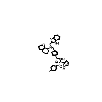 Cc1ccc(S(=O)(=O)C(NCc2ccc(CN(Cc3nc4ccccc4[nH]3)C3CCCc4cccnc43)cc2)c2ccc[nH]2)cc1